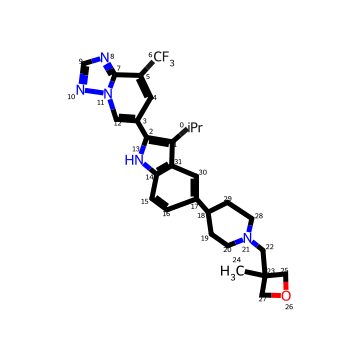 CC(C)c1c(-c2cc(C(F)(F)F)c3ncnn3c2)[nH]c2ccc(C3CCN(CC4(C)COC4)CC3)cc12